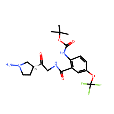 CC(C)(C)OC(=O)Nc1ccc(OC(F)(F)F)cc1C(=O)NCC(=O)[C@@H]1CCN(N)C1